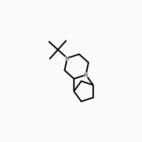 CC(C)(C)N1CCN2C3CCC(C3)C2C1